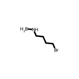 BNCCCCBr